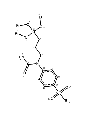 CCO[Si](CCCN(C(N)=O)c1ccc(S(N)(=O)=O)cc1)(OCC)OCC